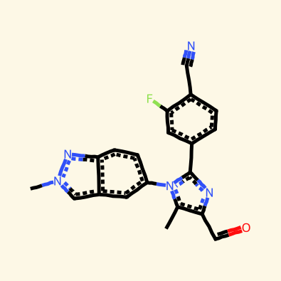 Cc1c(C=O)nc(-c2ccc(C#N)c(F)c2)n1-c1ccc2nn(C)cc2c1